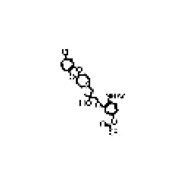 CC(=O)Nc1ccc(OC(=O)C(F)(F)F)cc1OCC(C)(O)CN1CCC2(CC1)Oc1ccc(Cl)cc1O2